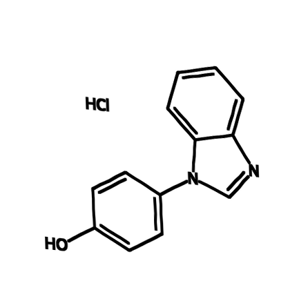 Cl.Oc1ccc(-n2cnc3ccccc32)cc1